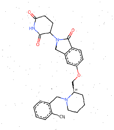 N#Cc1ccccc1CN1CCCC[C@@H]1COc1ccc2c(c1)CN(C1CCC(=O)NC1=O)C2=O